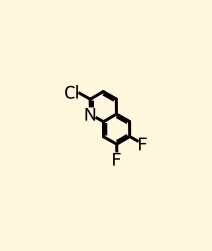 Fc1cc2ccc(Cl)nc2cc1F